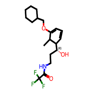 CC1C(OCC2CCCCC2)=CC=CC1[C@H](O)CCNC(=O)C(F)(F)F